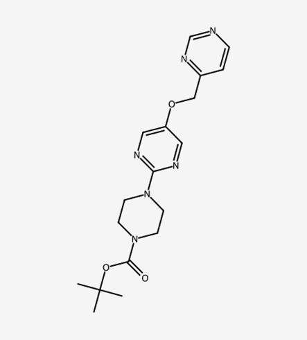 CC(C)(C)OC(=O)N1CCN(c2ncc(OCc3ccncn3)cn2)CC1